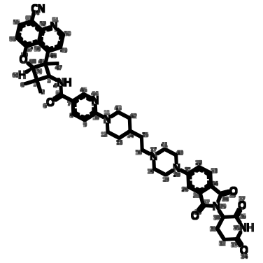 CC1(C)C(NC(=O)c2ccc(N3CCC(CCN4CCN(c5ccc6c(c5)C(=O)N(C5CCC(=O)NC5=O)C6=O)CC4)CC3)nc2)C2(C)c3ccnc4c(C#N)ccc(c34)O[C@@H]12